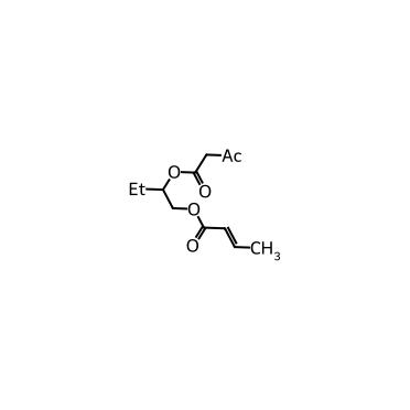 CC=CC(=O)OCC(CC)OC(=O)CC(C)=O